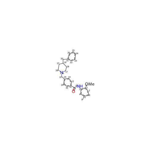 COc1ccc(C)cc1NC(=O)c1ccc(CN2CCC(Cc3ccccc3)CC2)cc1